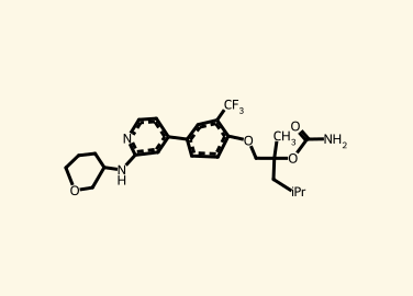 CC(C)CC(C)(COc1ccc(-c2ccnc(NC3CCCOC3)c2)cc1C(F)(F)F)OC(N)=O